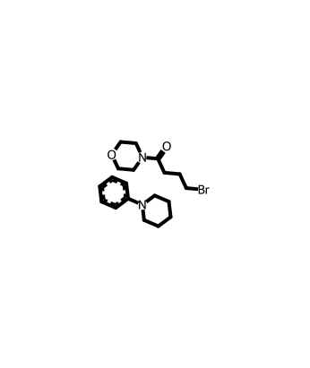 O=C(CCCBr)N1CCOCC1.c1ccc(N2CCCCC2)cc1